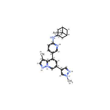 CC(=O)NC1(C)C2CC(Nc3ccc(-c4cc(-c5cnn(C)c5)cn5ncc(C#N)c45)cn3)CC1C2